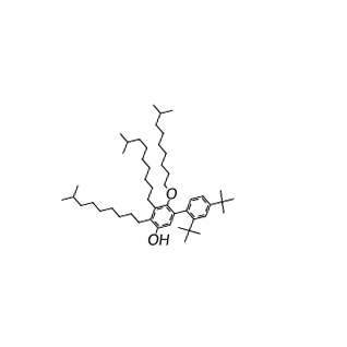 CC(C)CCCCCCCOc1c(-c2ccc(C(C)(C)C)cc2C(C)(C)C)cc(O)c(CCCCCCCC(C)C)c1CCCCCCCC(C)C